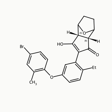 CCc1ccc(Oc2ccc(Br)cc2C)cc1C1=C(O)[C@@H]2C3CCC(O3)[C@@H]2C1=O